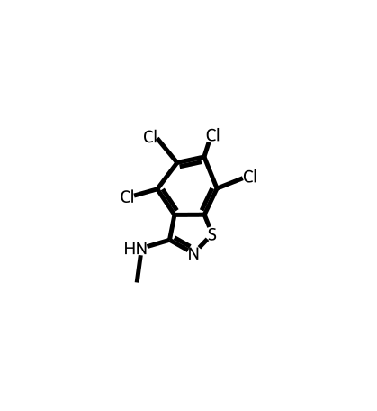 CNc1nsc2c(Cl)c(Cl)c(Cl)c(Cl)c12